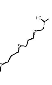 COCCCOCCCOCC(C)O